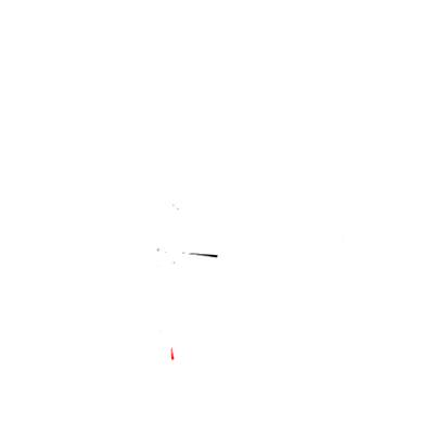 O=C(O[C@H]1C[N+]2(CCCOc3ccccc3)CCC1CC2)[C@@](O)(c1ccccc1)C1CCCC1.O=C([O-])C(F)(F)F